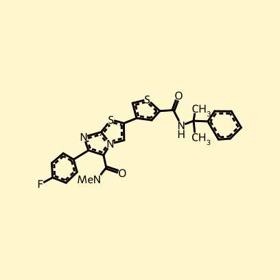 CNC(=O)c1c(-c2ccc(F)cc2)nc2sc(-c3csc(C(=O)NC(C)(C)c4ccccc4)c3)cn12